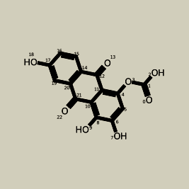 O=C(O)Oc1cc(O)c(O)c2c1C(=O)c1ccc(O)cc1C2=O